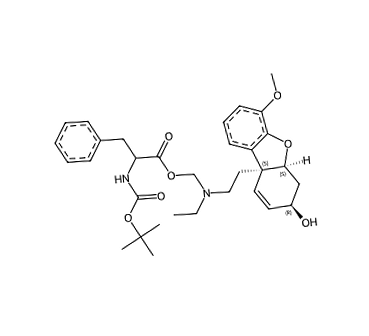 CCN(CC[C@@]12C=C[C@H](O)C[C@@H]1Oc1c(OC)cccc12)COC(=O)C(Cc1ccccc1)NC(=O)OC(C)(C)C